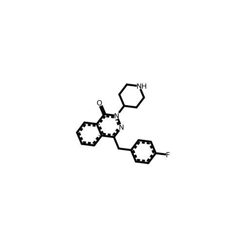 O=c1c2ccccc2c(Cc2ccc(F)cc2)nn1C1CCNCC1